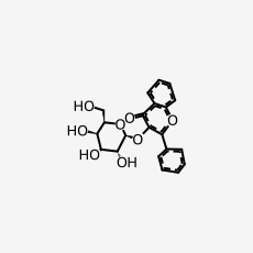 O=c1c(O[C@@H]2O[C@H](CO)[C@H](O)[C@H](O)[C@H]2O)c(-c2ccccc2)oc2ccccc12